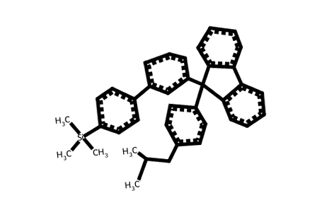 CC(C)Cc1ccc(C2(c3cccc(-c4ccc([Si](C)(C)C)cc4)c3)c3ccccc3-c3ccccc32)cc1